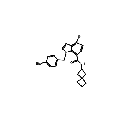 CC(C)(C)c1ccc(Cn2ccc3c(Br)ccc(C(=O)NC4CC5(CCC5)C4)c32)cc1